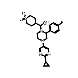 O=S1(=O)CCC(C(O)N2CCN(c3cnc(C4CC4)nc3)CC2c2ccc(F)cc2)CC1